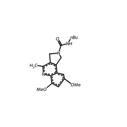 CCCCNC(=O)N1Cc2c(C)nc3c(OC)cc(OC)cc3c2C1